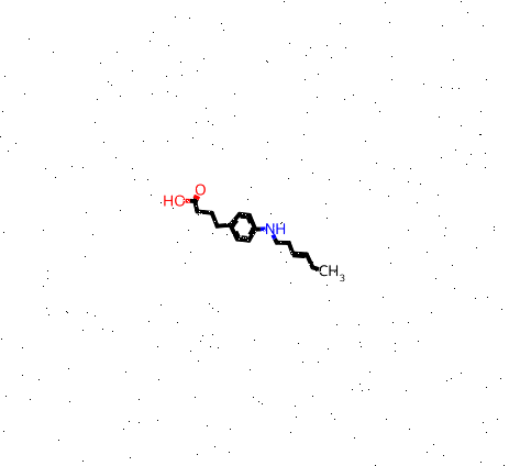 CCC=CCCNc1ccc(CCCC(=O)O)cc1